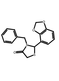 O=C1CSC(c2cccc3c2OCO3)N1Cc1ccccc1